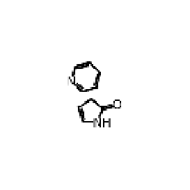 O=C1CC=CN1.c1ccncc1